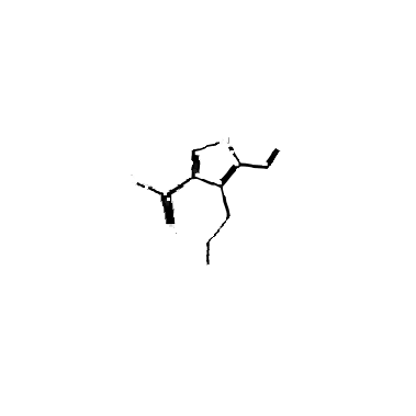 O=Cc1[nH]cc(C(=O)O)c1CCO